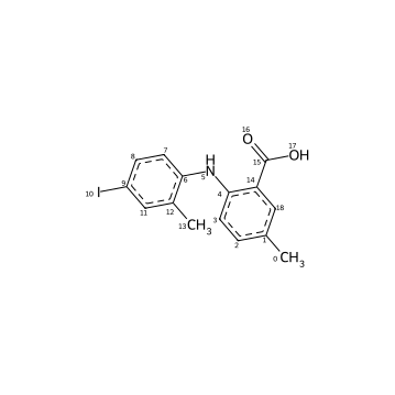 Cc1ccc(Nc2ccc(I)cc2C)c(C(=O)O)c1